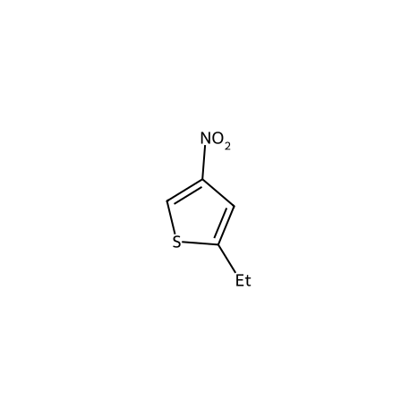 CCc1cc([N+](=O)[O-])cs1